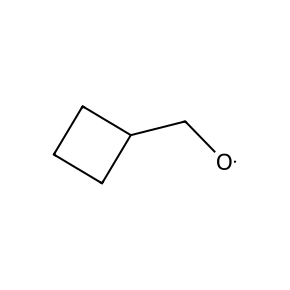 [O]CC1CCC1